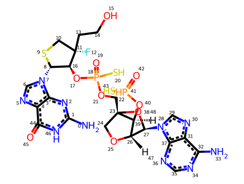 Nc1nc2c(ncn2[C@@H]2SC[C@@](F)(CCO)[C@H]2OP(=O)(S)OC[C@@]23CO[C@@H]([C@H](n4cnc5c(N)ncnc54)O2)[C@@H]3O[PH](=O)S)c(=O)[nH]1